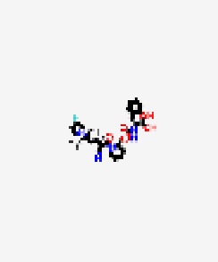 CC(C)(CCC(C#N)C(=O)N1CCCC[C@@H]1COC(=O)N[C@@H](Cc1ccccc1)B(O)O)N1CC[C@H](F)C1